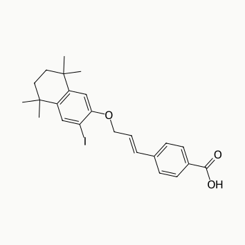 CC1(C)CCC(C)(C)c2cc(OCC=Cc3ccc(C(=O)O)cc3)c(I)cc21